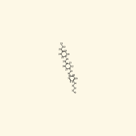 CCCCCc1ccc(CC[C@H]2CC[C@H](CC[C@H]3CC[C@H](CCC)CC3)CC2)cc1